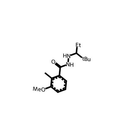 CCC(NNC(=O)c1cccc(OC)c1C)C(C)(C)C